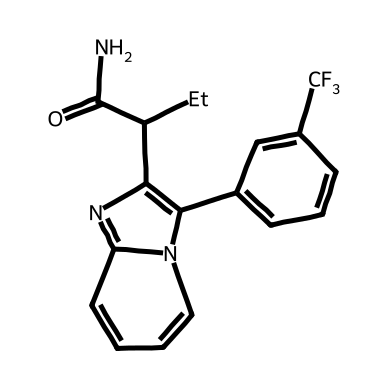 CCC(C(N)=O)c1nc2ccccn2c1-c1cccc(C(F)(F)F)c1